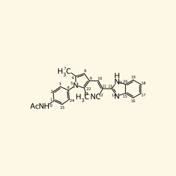 CC(=O)Nc1ccc(-n2c(C)cc(/C=C(\C#N)c3nc4ccccc4[nH]3)c2C)cc1